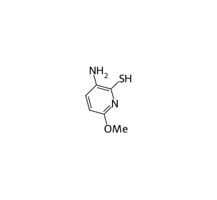 COc1ccc(N)c(S)n1